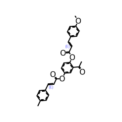 COc1ccc(/C=C/C(=O)Oc2ccc(OC(=O)/C=C/c3ccc(C)cc3)cc2C(C)=O)cc1